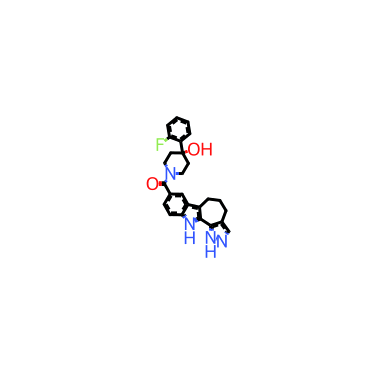 O=C(c1ccc2[nH]c3c(c2c1)CCCc1cn[nH]c1-3)N1CCC(O)(c2ccccc2F)CC1